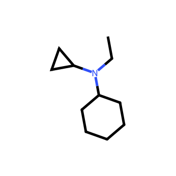 CCN(C1CCCCC1)C1CC1